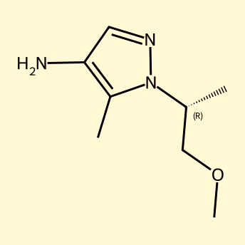 COC[C@@H](C)n1ncc(N)c1C